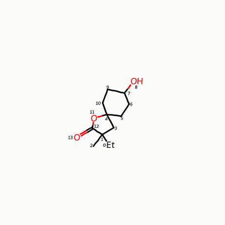 CCC1(C)CC2(CCC(O)CC2)OC1=O